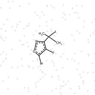 CC(C)(I)c1noc(Br)c1F